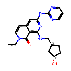 CCn1ccc2cc(Nc3ncccn3)nc(NC[C@H]3CC[C@H](O)C3)c2c1=O